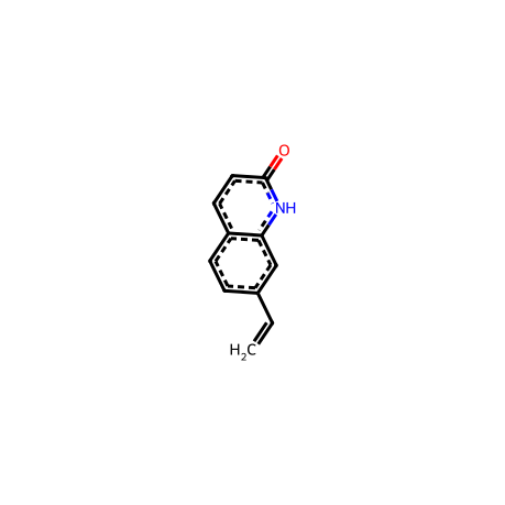 C=Cc1ccc2ccc(=O)[nH]c2c1